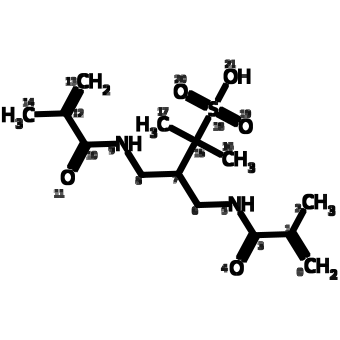 C=C(C)C(=O)NCC(CNC(=O)C(=C)C)C(C)(C)S(=O)(=O)O